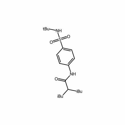 CCC(C)C(C(=O)Nc1ccc(S(=O)(=O)NC(C)(C)C)cc1)C(C)CC